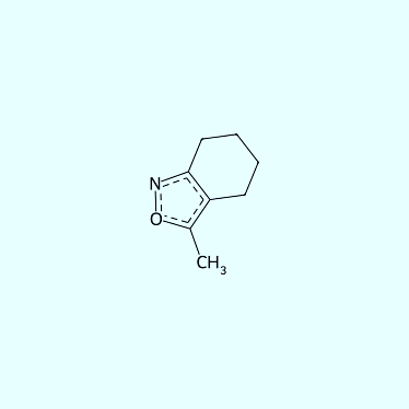 Cc1onc2c1CCCC2